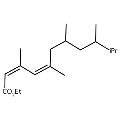 CCOC(=O)C=C(C)C=C(C)CC(C)CC(C)C(C)C